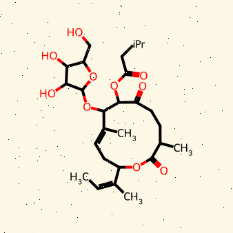 C/C=C(/C)C1C/C=C(\C)C(OC2OC(CO)C(O)C2O)C(OC(=O)CC(C)C)C(=O)CCC(C)C(=O)O1